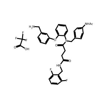 CC(=O)Nc1ccc(CN(C(=O)CCC(=O)NCc2c(F)cccc2F)c2ccccc2Oc2cccc(CN)c2)cc1.O=C(O)C(F)(F)F